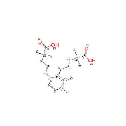 Cc1ccc(CCCC(C)(C)C(=O)O)c(CCCC(C)(C)C(=O)O)c1C